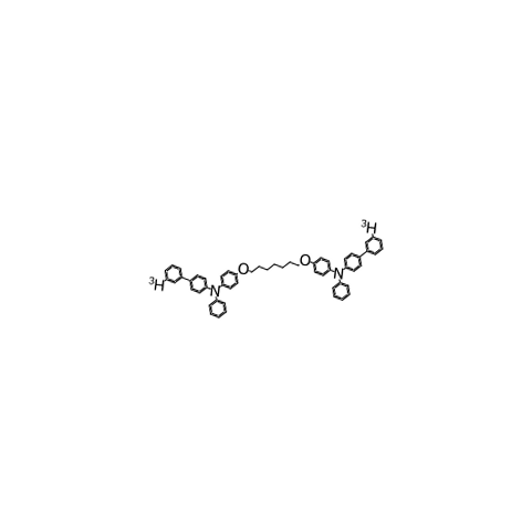 [3H]c1cccc(-c2ccc(N(c3ccccc3)c3ccc(OCCCCCCCOc4ccc(N(c5ccccc5)c5ccc(-c6cccc([3H])c6)cc5)cc4)cc3)cc2)c1